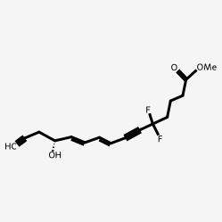 C#CC[C@@H](O)/C=C/C=C/C#CC(F)(F)CCCC(=O)OC